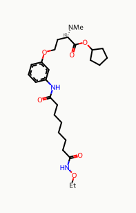 CCONC(=O)CCCCCCC(=O)Nc1cccc(OCC[C@H](NC)C(=O)OC2CCCC2)c1